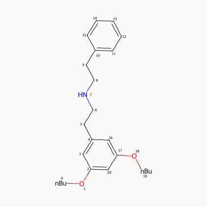 CCCCOc1cc(CCNCCc2ccccc2)cc(OCCCC)c1